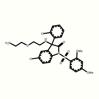 COc1ccc(S(=O)(=O)N2C(=O)C(NCCOCCN)(c3ccccc3Cl)c3cc(Cl)ccc32)c(OC)c1